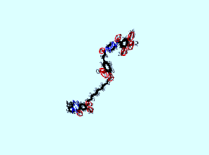 COc1cc(C=CC(=O)N2CCN(C(=O)c3cc(OC)c(OC)c(OC)c3)CC2)ccc1OCCCCCCCCCOc1cc2c(cc1OC)C(=O)N1CCC[C@H]1C=N2